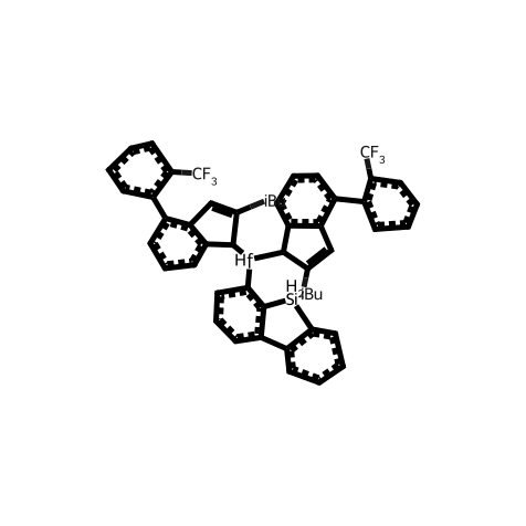 CCC(C)C1=Cc2c(-c3ccccc3C(F)(F)F)cccc2[CH]1[Hf]([c]1cccc2c1[SiH2]c1ccccc1-2)[CH]1C(C(C)CC)=Cc2c(-c3ccccc3C(F)(F)F)cccc21